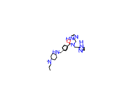 CCCN(C)[C@H]1CC[C@H](NCc2ccc(C(=O)N(Cc3ncc[nH]3)Cc3ncc[nH]3)cc2)CC1